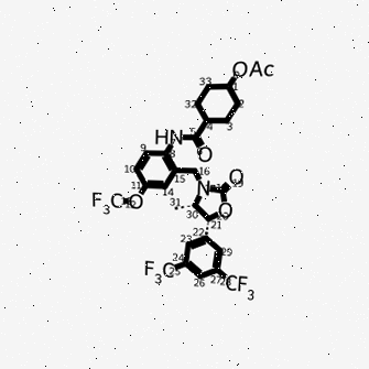 CC(=O)OC1CCC(C(=O)Nc2ccc(OC(F)(F)F)cc2CN2C(=O)O[C@H](c3cc(C(F)(F)F)cc(C(F)(F)F)c3)[C@@H]2C)CC1